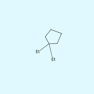 [CH2]CC1(CC)CCCC1